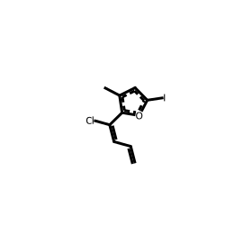 C=C/C=C(/Cl)c1oc(I)cc1C